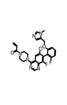 C=CC(=O)N1CCN(c2ncnc3c(F)c(-c4c(F)cccc4OCc4cncn4C)c(Cl)cc23)CC1